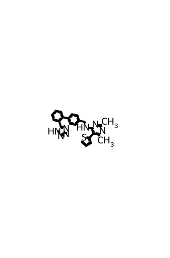 Cc1nc(C)c(-c2cccs2)c(NCc2ccc(-c3ccccc3-c3nnn[nH]3)cc2)n1